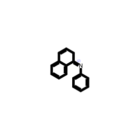 C1=Cc2ccccc2/C(=N\c2ccccc2)C1